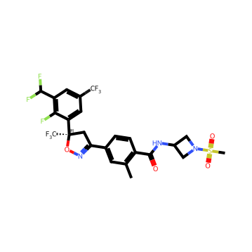 Cc1cc(C2=NO[C@](c3cc(C(F)(F)F)cc(C(F)F)c3F)(C(F)(F)F)C2)ccc1C(=O)NC1CN(S(C)(=O)=O)C1